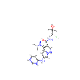 CC(C)Nc1c(C(=O)NC[C@@H](F)C(C)(C)O)cnn2cc(Nc3ccncn3)cc12